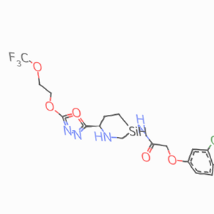 O=C(COc1ccc(Cl)c(Cl)c1)N[Si@H]1CC[C@H](c2nnc(OCCOC(F)(F)F)o2)NC1